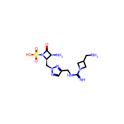 N=C(NCc1cnn(C[C@@H]2[C@H](N)C(=O)N2S(=O)(=O)O)n1)N1CC(CN)C1